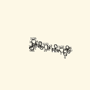 COc1cc(NC(=O)CCN2CCC(OC(=O)Nc3ccccc3-c3ccsc3)CC2)ccc1C1OCCO1